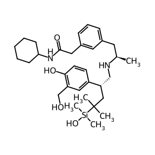 C[C@H](Cc1cccc(CC(=O)NC2CCCCC2)c1)NC[C@H](CC(C)(C)[Si](C)(C)O)c1ccc(O)c(CO)c1